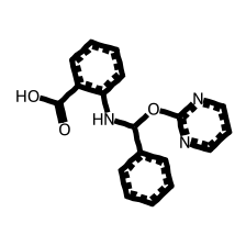 O=C(O)c1ccccc1NC(Oc1ncccn1)c1ccccc1